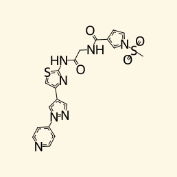 CS(=O)(=O)n1ccc(C(=O)NCC(=O)Nc2nc(-c3cnn(-c4ccncc4)c3)cs2)c1